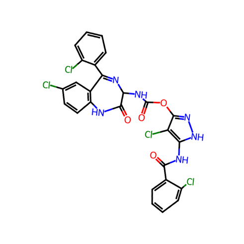 O=C(NC1N=C(c2ccccc2Cl)c2cc(Cl)ccc2NC1=O)Oc1n[nH]c(NC(=O)c2ccccc2Cl)c1Cl